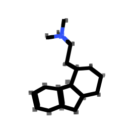 CN(C)CCC1CCCC2CC3=C(CC=CC3)C12